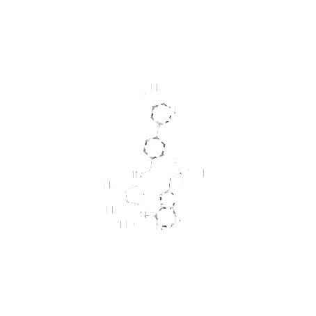 COc1cncc(-c2ccc(CN[C@@H]3C[C@H](N(C)c4ncnc5sc(CC(F)(F)F)cc45)[C@H](O)[C@@H]3O)cc2)c1.Cl